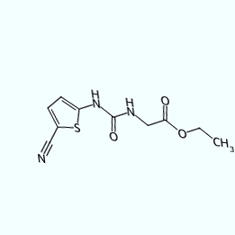 CCOC(=O)CNC(=O)Nc1ccc(C#N)s1